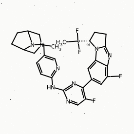 CN1CC2CCC(C1)N2Cc1ccc(Nc2ncc(F)c(-c3cc(F)c4nc5n(c4c3)[C@H](C(C)(F)F)CC5)n2)nc1